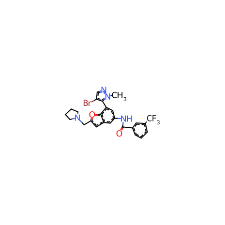 Cn1ncc(Br)c1-c1cc(NC(=O)c2cccc(C(F)(F)F)c2)cc2cc(CN3CCCC3)oc12